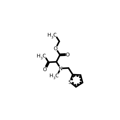 CCOC(=O)C(C(C)=O)N(C)Cc1cccs1